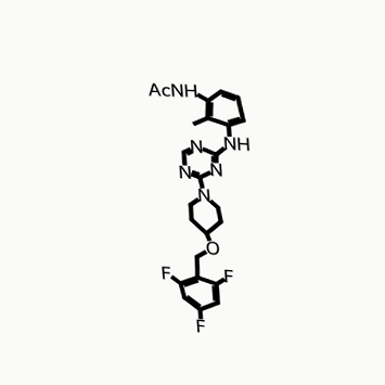 CC(=O)Nc1cccc(Nc2ncnc(N3CCC(OCc4c(F)cc(F)cc4F)CC3)n2)c1C